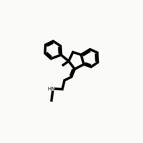 CNCC/C=C1/c2ccccc2CC1(C)c1ccccc1